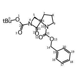 CC(C)(C)OC(=O)N1C[C@]2(CCCN2C(=O)OCc2ccccc2)C1=O